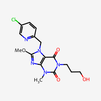 COc1nc2c(c(=O)n(CCCO)c(=O)n2C)n1Cc1ccc(Cl)cn1